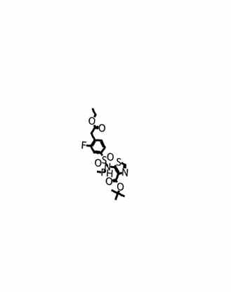 CCOC(=O)Cc1ccc(S(=O)(=O)N(PC)c2scnc2C(=O)OC(C)(C)C)cc1F